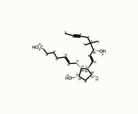 CC#CCC(C)(C)[C@H](O)C=C[C@@H]1[C@@H](CC=CCCCC(=O)O)[C@@H](O)C[C@H]1C